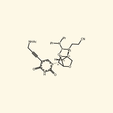 CC[C@]12COC([C@H](n3cc(C#CCNC(C)=O)c(=O)[nH]c3=O)O1)[C@@H]2OP(OCCC#N)N(C(C)C)C(C)C